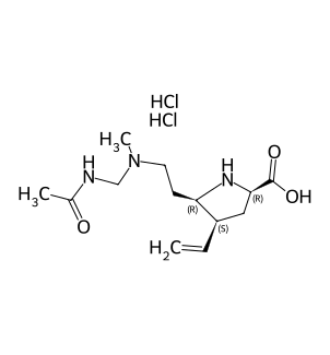 C=C[C@@H]1C[C@H](C(=O)O)N[C@@H]1CCN(C)CNC(C)=O.Cl.Cl